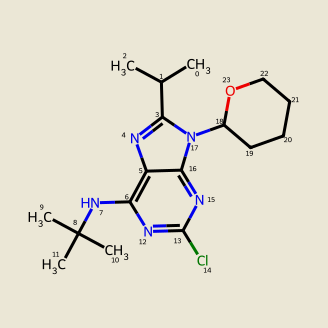 CC(C)c1nc2c(NC(C)(C)C)nc(Cl)nc2n1C1CCCCO1